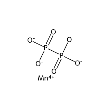 O=P([O-])([O-])P(=O)([O-])[O-].[Mn+4]